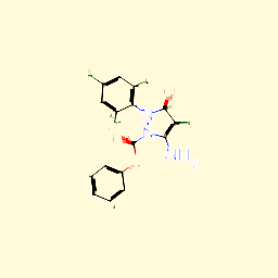 Nc1c(Cl)c(=O)n(-c2c(Cl)cc(Cl)cc2Cl)n1C(=O)Oc1ccccc1